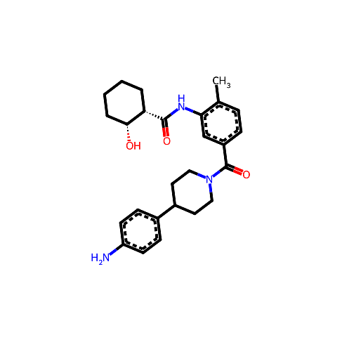 Cc1ccc(C(=O)N2CCC(c3ccc(N)cc3)CC2)cc1NC(=O)[C@H]1CCCC[C@H]1O